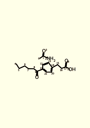 CC(N)=O.CCCCCC(=O)c1ccc(CCC(=O)O)cc1